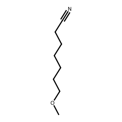 COCCCCCCC#N